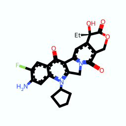 CC[C@@]1(O)C(=O)OCc2c1cc1n(c2=O)Cc2c-1c(=O)c1cc(F)c(N)cc1n2C1CCCC1